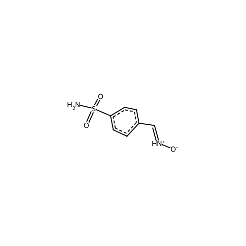 NS(=O)(=O)c1ccc(C=[NH+][O-])cc1